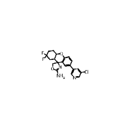 NC1=NC2(CO1)c1cc(-c3cncc(Cl)c3)ccc1OC1CCC(F)(F)CC12